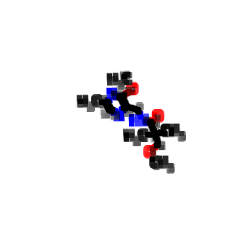 COCC(C)(C)C(=O)NCc1ncc(C)nc1OC